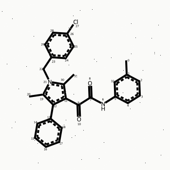 Cc1cccc(NC(=O)C(=O)c2c(-c3ccccc3)c(C)n(Cc3ccc(Cl)cc3)c2C)c1